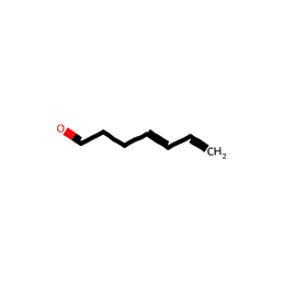 C=C/C=C/CCC=O